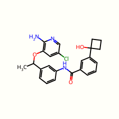 CC(Oc1cc(Cl)cnc1N)c1cccc(NC(=O)c2cccc(C3(O)CCC3)c2)c1